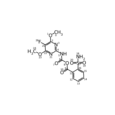 COc1nc(NC(=O)OC(=O)c2ccccc2S(N)(=O)=O)nc(OC)c1F